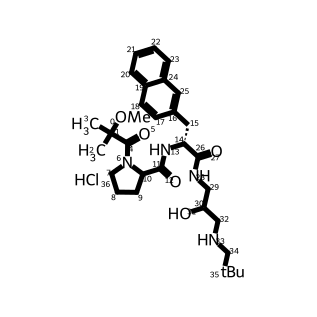 COC(C)(C)C(=O)N1CCCC1C(=O)N[C@H](Cc1ccc2ccccc2c1)C(=O)NCC(O)CNCC(C)(C)C.Cl